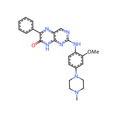 COc1cc(N2CCN(C)CC2)ccc1Nc1ncc2nc(-c3ccccc3)c(=O)[nH]c2n1